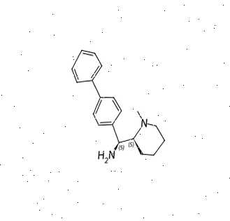 CN1CCCC[C@H]1[C@@H](N)c1ccc(-c2ccccc2)cc1